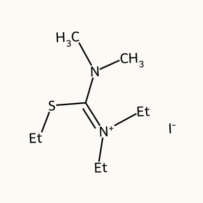 CCSC(N(C)C)=[N+](CC)CC.[I-]